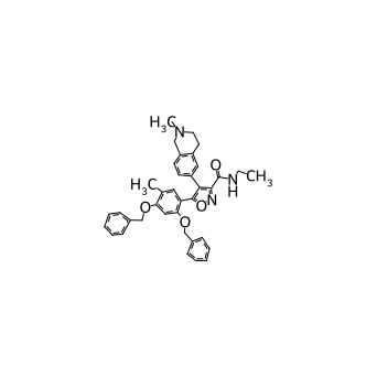 CCNC(=O)c1noc(-c2cc(C)c(OCc3ccccc3)cc2OCc2ccccc2)c1-c1ccc2c(c1)CCN(C)C2